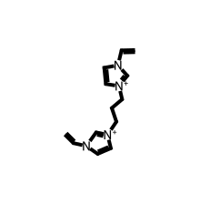 C=Cn1cc[n+](CCC[n+]2ccn(C=C)c2)c1